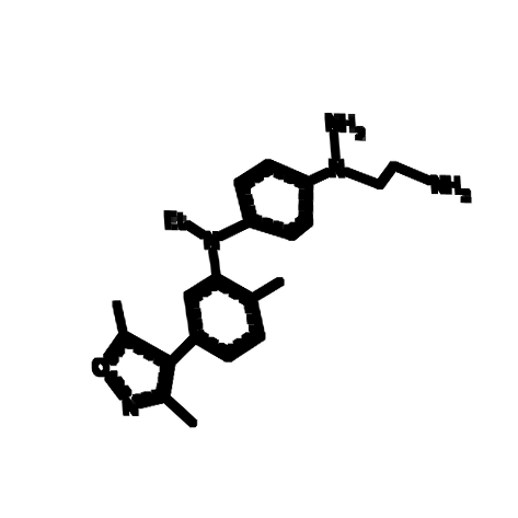 CCN(c1ccc(N(N)CCN)cc1)c1cc(-c2c(C)noc2C)ccc1C